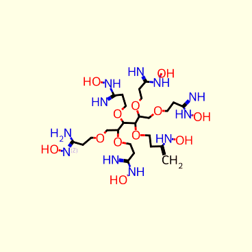 C=C(CCOC(C(COCCC(=N)NO)OCCC(=N)NO)C(OCCC(=N)NO)C(COCC/C(N)=N/O)OCCC(=N)NO)NO